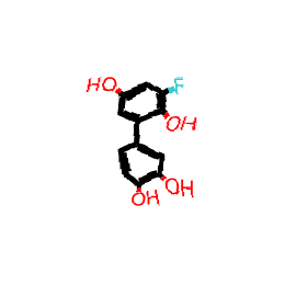 Oc1cc(F)c(O)c(-c2ccc(O)c(O)c2)c1